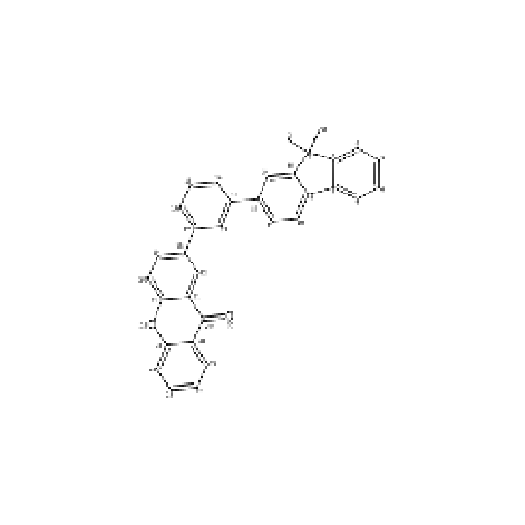 CC1(C)c2ccccc2-c2ccc(-c3cccc(-c4ccc5oc6ccccc6c(=O)c5c4)c3)cc21